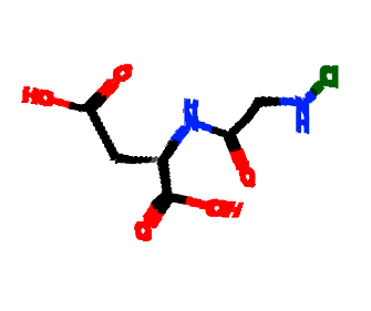 O=C(O)C[C@H](NC(=O)CNCl)C(=O)O